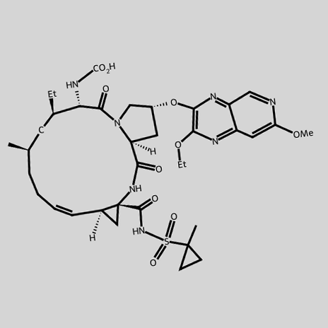 CCOc1nc2cc(OC)ncc2nc1O[C@@H]1C[C@H]2C(=O)N[C@]3(C(=O)NS(=O)(=O)C4(C)CC4)C[C@H]3C=CCC[C@@H](C)C[C@@H](CC)[C@H](NC(=O)O)C(=O)N2C1